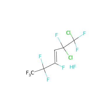 F.FC(=CC(F)(Cl)C(F)(F)Cl)C(F)(F)C(F)(F)F